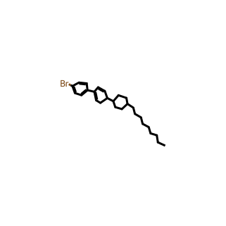 CCCCCCCCCC1CCC(C2C=CC(c3ccc(Br)cc3)=CC2)CC1